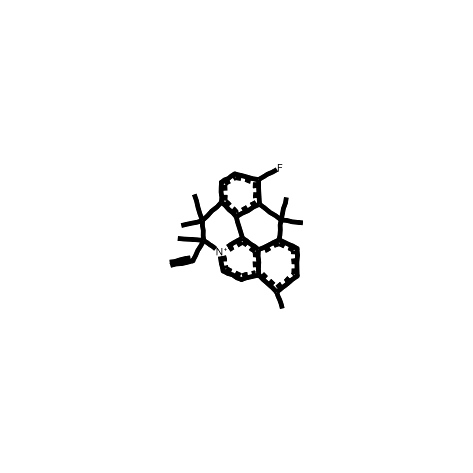 C=CC1(C)[n+]2ccc3c(C)ccc4c3c2-c2c(ccc(F)c2C4(C)C)C1(C)C